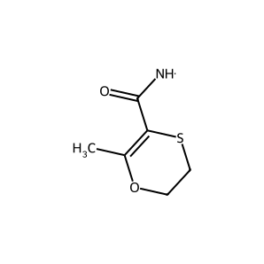 CC1=C(C([NH])=O)SCCO1